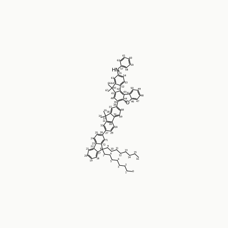 CCCCCCCCC1(CCCCCCCC)c2ccccc2-c2ccc(-c3ccc4c(c3)C(C)(C)c3cc(-c5cc6c(c7c5oc5ccccc57)-c5ccc(Nc7ccccc7)cc5C6(C)C)ccc3-4)cc21